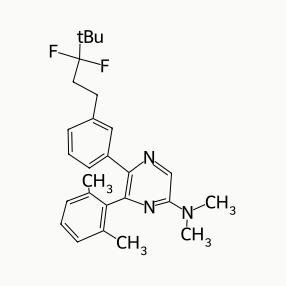 Cc1cccc(C)c1-c1nc(N(C)C)cnc1-c1cccc(CCC(F)(F)C(C)(C)C)c1